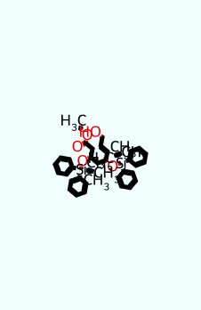 CCOC(=O)CC(CC(/C=C/CO)O[Si](c1ccccc1)(c1ccccc1)C(C)(C)C)O[Si](c1ccccc1)(c1ccccc1)C(C)(C)C